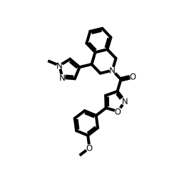 COc1cccc(-c2cc(C(=O)N3Cc4ccccc4C(c4cnn(C)c4)C3)no2)c1